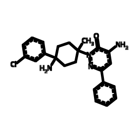 CC1(n2nc(-c3ccccc3)cc(N)c2=O)CCC(N)(c2cccc(Cl)c2)CC1